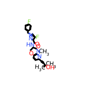 CN1C(=O)[C@@H](NC(=O)c2nn(Cc3ccc(F)cc3)cc2F)COc2ccc(C#CC(C)(C)O)nc21